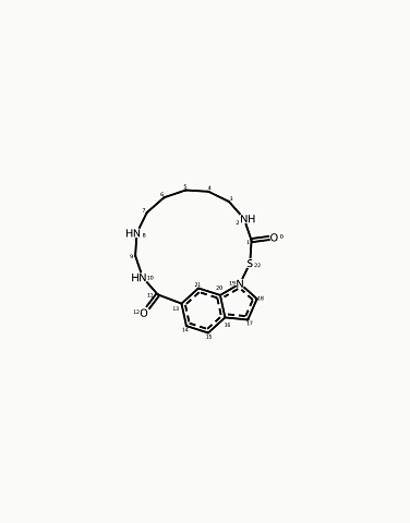 O=C1NCCCCCNCNC(=O)c2ccc3ccn(c3c2)S1